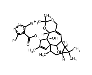 CCc1onc(C(C)C)c1C(=O)O[C@H]1C(C)=C[C@]23C(O)[C@@H](C=C4COC(C)(C)O[C@H]4[C@]12O)[C@H]1[C@@H](C[C@H]3C)C1(C)C